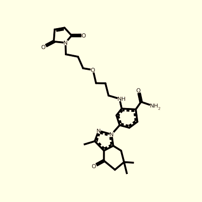 Cc1nn(-c2ccc(C(N)=O)c(NCCCOCCCN3C(=O)C=CC3=O)c2)c2c1C(=O)CC(C)(C)C2